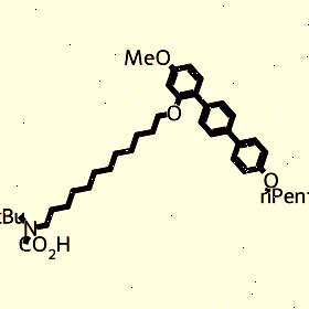 CCCCCOc1ccc(-c2ccc(-c3ccc(OC)cc3OCCCCCCCCCCCCN(C(=O)O)C(C)(C)C)cc2)cc1